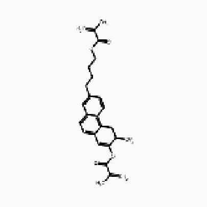 C=C(C)C(=O)OCCCCc1ccc2c3c(ccc2c1)C=C(OC(=O)C(=C)C)C(C)C3